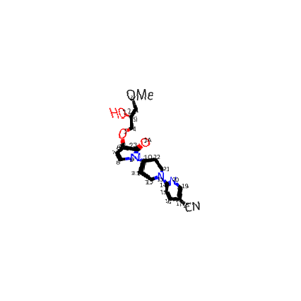 COC[C@H](O)COC1CCN(C2CCN(c3ccc(C#N)cn3)CC2)C1=O